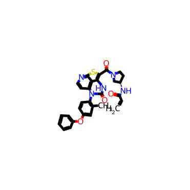 C=CC(=O)N[C@H]1CCN(C(=O)c2sc3nccc4c3c2NC(=O)N4c2ccc(Oc3ccccc3)cc2C)C1